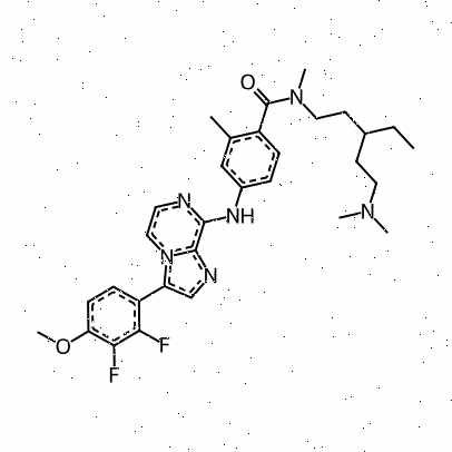 CCC(CCN(C)C)CCN(C)C(=O)c1ccc(Nc2nccn3c(-c4ccc(OC)c(F)c4F)cnc23)cc1C